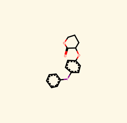 O=C1OCCCC1Oc1ccc([I+]c2ccccc2)cc1